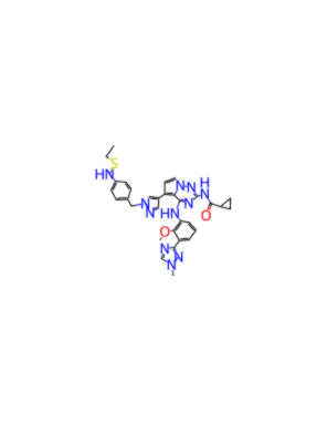 CCSNc1ccc(Cn2cc(-c3ccn4nc(NC(=O)C5CC5)nc(Nc5cccc(-c6ncn(C)n6)c5OC)c34)cn2)cc1